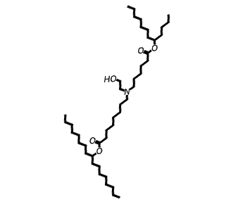 CCCCCCCCC(CCCCCCCC)OC(=O)CCCCCCCN(CCO)CCCCCC(=O)OC(CCCC)CCCCCCC